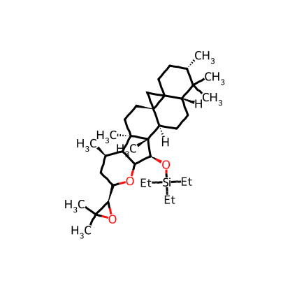 CC[Si](CC)(CC)O[C@H]1C2OC([C@H]3OC3(C)C)C[C@@H](C)C2[C@@]2(C)CC[C@@]34CC35CC[C@H](C)C(C)(C)[C@@H]5CC[C@H]4[C@]12C